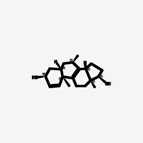 C[C@H]1C[C@@H]2C[C@@H](O)C=C[C@]2(C)C2=C1[C@@H]1CC[C@H](O)[C@@]1(C)CC2